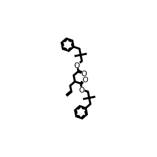 C=CCC(CC(=O)OCC(C)(C)Cc1ccccc1)C(=O)OCC(C)(C)Cc1ccccc1